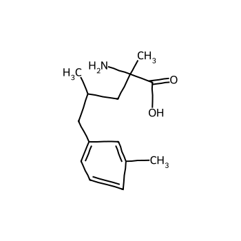 Cc1cccc(CC(C)CC(C)(N)C(=O)O)c1